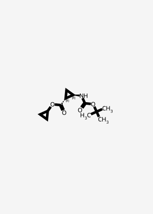 CC(C)(C)OC(=O)N[C@@H]1C[C@H]1C(=O)OC1CC1